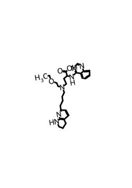 CCOCCN(CCCCc1ccc2c(n1)NCCC2)CCC(Nc1ncnc2ccccc12)C(=O)O